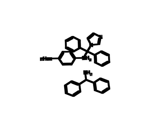 BC(c1ccccc1)c1ccccc1.CCCCCCc1ccc([SiH2]C(c2ccccc2)(c2ccccc2)n2ccnc2)cc1